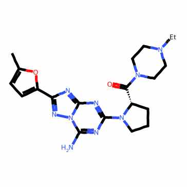 CCN1CCN(C(=O)[C@@H]2CCCN2c2nc(N)n3nc(-c4ccc(C)o4)nc3n2)CC1